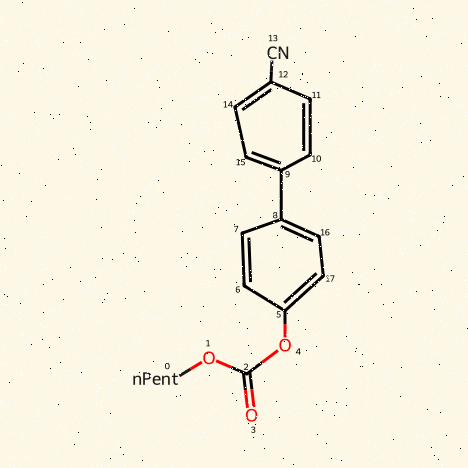 CCCCCOC(=O)Oc1ccc(-c2ccc(C#N)cc2)cc1